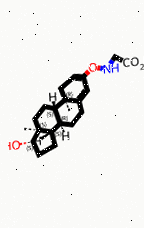 C[C@]12CC[C@H]3[C@@H](CCC4=CC(ONCC(=O)O)=CC[C@@]43C)[C@@H]1CC[C@@H]2O